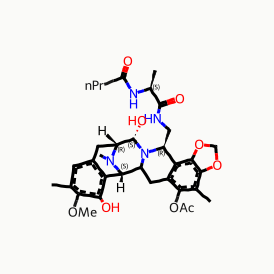 CCCC(=O)N[C@@H](C)C(=O)NC[C@H]1c2c(c(OC(C)=O)c(C)c3c2OCO3)CC2[C@@H]3c4c(cc(C)c(OC)c4O)C[C@H]([C@H](O)N21)N3C